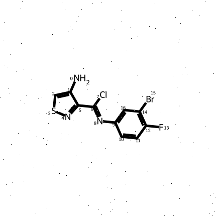 Nc1csnc1C(Cl)=Nc1ccc(F)c(Br)c1